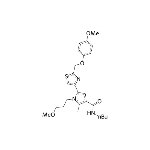 CCCCNC(=O)c1cc(-c2csc(COc3ccc(OC)cc3)n2)n(CCCOC)c1C